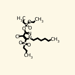 CCCCCCn1nc(OP(=O)(CC)OCC)c(Cl)c1S(=O)(=O)CCC